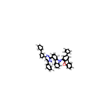 c1ccc(-c2cccc(-c3cc(-c4ccccc4)nc(-c4cccc5c4c4ccccc4n5-c4cc(-c5ccccc5)cc5c4oc4ccccc45)n3)c2)cc1